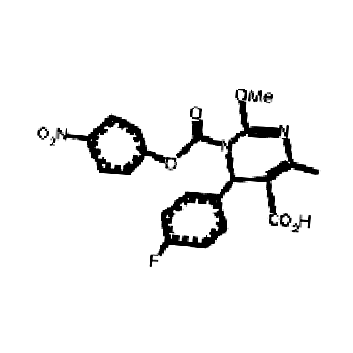 COC1=NC(C)=C(C(=O)O)C(c2ccc(F)cc2)N1C(=O)Oc1ccc([N+](=O)[O-])cc1